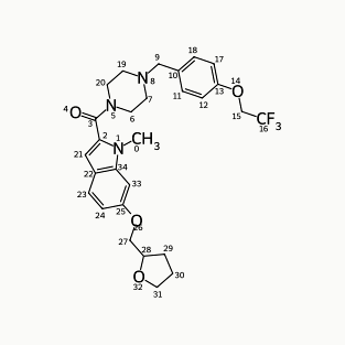 Cn1c(C(=O)N2CCN(Cc3ccc(OCC(F)(F)F)cc3)CC2)cc2ccc(OCC3CCCO3)cc21